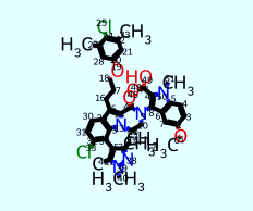 COc1ccc2c(c1)c(N1C[C@@H](C)n3c(c(CCCOc4cc(C)c(Cl)c(C)c4)c4ccc(Cl)c(-c5c(C)nn(C)c5C)c43)C1=O)c(C(=O)O)n2C